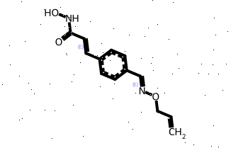 C=CCO/N=C/c1ccc(/C=C/C(=O)NO)cc1